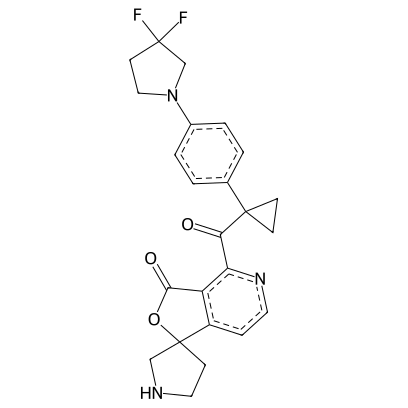 O=C1OC2(CCNC2)c2ccnc(C(=O)C3(c4ccc(N5CCC(F)(F)C5)cc4)CC3)c21